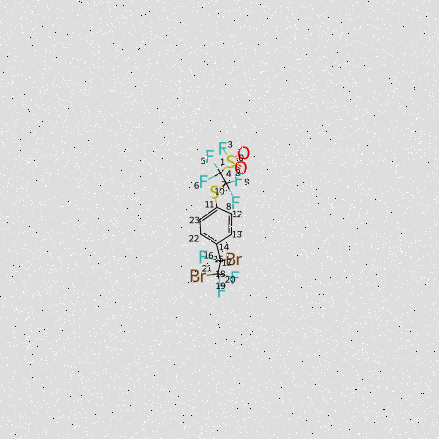 O=S(=O)(F)C(F)(F)C(F)(F)Sc1ccc(C(F)(Br)C(F)(F)Br)cc1